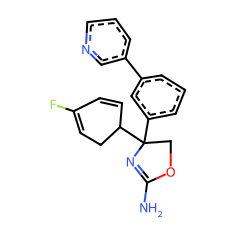 NC1=NC(c2cccc(-c3cccnc3)c2)(C2C=CC(F)=CC2)CO1